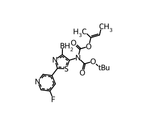 Bc1nc(-c2cncc(F)c2)sc1N(C(=O)O/C(C)=C/C)C(=O)OC(C)(C)C